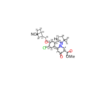 COC(=O)c1cn2c(cc1=O)-c1cc(Cl)c(OCC3CC4(C#N)CCC34)cc1[C@H]1CCC3(CC3)N12